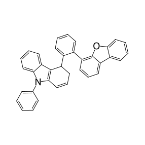 C1=Cc2c(c3ccccc3n2-c2ccccc2)C(c2ccccc2-c2cccc3c2oc2ccccc23)C1